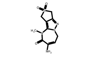 CN1C(=O)C(N)=CCn2nc3c(c21)CS(=O)(=O)C3